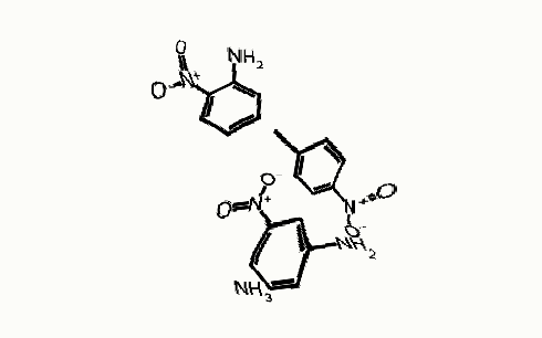 Cc1ccc([N+](=O)[O-])cc1.N.Nc1cccc([N+](=O)[O-])c1.Nc1ccccc1[N+](=O)[O-]